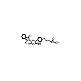 COC(=O)[C@H](CC1CNc2cc(CCCCC(=O)NO)ccc21)N1C(=O)c2ccccc2C1=O